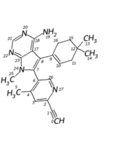 C#Cc1cc(C)c(-c2c(C3=CCC(C)(C)CC3)c3c(N)ncnc3n2C)cn1